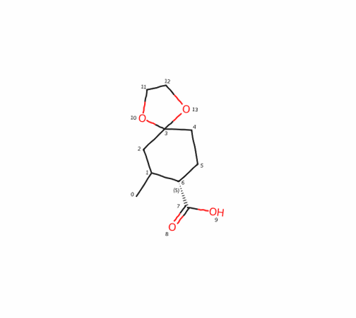 CC1CC2(CC[C@@H]1C(=O)O)OCCO2